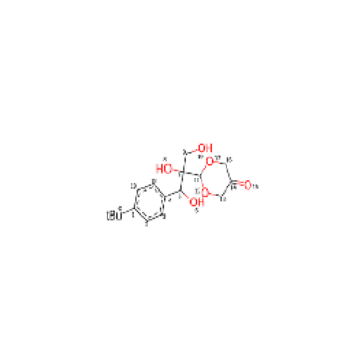 CC(C)(C)c1ccc(C(O)C(O)(CO)C2OCC(=O)CO2)cc1